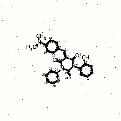 Cc1ccccc1N1C(=O)/C(=C/c2ccc(N(C)C)cc2)C(=O)N(c2ccccn2)C1=S